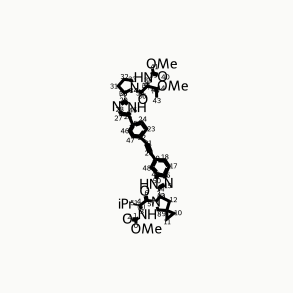 COC(=O)N[C@H](C(=O)N1CC2(CC2)C[C@H]1c1nc2ccc(C#Cc3ccc(-c4cnc([C@@H]5CCCN5C(=O)[C@@H](NC(=O)OC)[C@@H](C)OC)[nH]4)cc3)cc2[nH]1)C(C)C